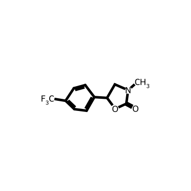 CN1CC(c2ccc(C(F)(F)F)cc2)OC1=O